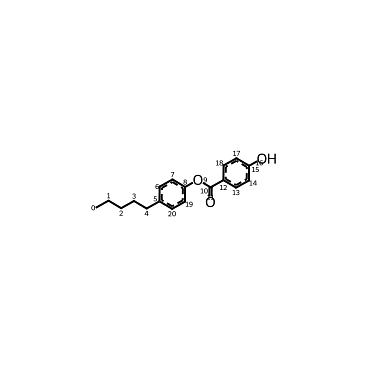 CCCCCc1ccc(OC(=O)c2ccc(O)cc2)cc1